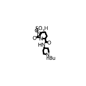 CCCCN1CCC(NC(=O)C2CCC3CN2C(=O)N3OS(=O)(=O)O)CC1